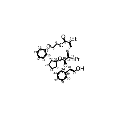 C=C(CC)C(=O)OCCOc1ccccc1.C=C(CCC)C(=O)OC1CCCC1.OC=Cc1ccccc1